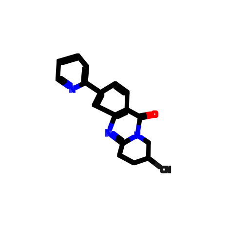 N#CC1CCc2nc3cc(-c4ccccn4)ccc3c(=O)n2C1